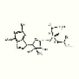 CCOC(=O)[C@H](CC)NP(=O)(N[C@H](CC)C(=O)OCC)OC[C@H]1OC(n2cnc3c(OC)nc(N)nc32)[C@@](C)(O)C1O